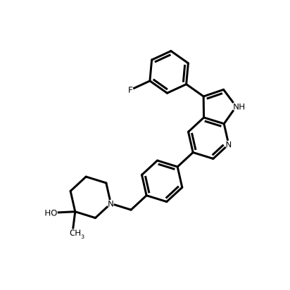 CC1(O)CCCN(Cc2ccc(-c3cnc4[nH]cc(-c5cccc(F)c5)c4c3)cc2)C1